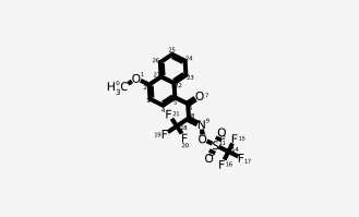 COc1ccc(C(=O)/C(=N/OS(=O)(=O)C(F)(F)F)C(F)(F)F)c2ccccc12